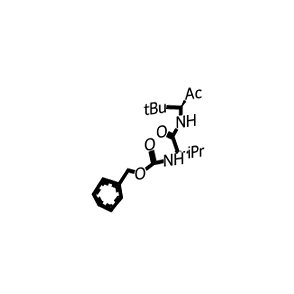 CC(=O)[C@@H](NC(=O)[C@@H](NC(=O)OCc1ccccc1)C(C)C)C(C)(C)C